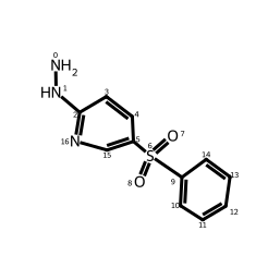 NNc1ccc(S(=O)(=O)c2ccccc2)cn1